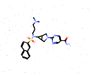 CN(C)CCCN(C1C2CN(c3ncc(C(N)=O)cn3)CC21)S(=O)(=O)c1ccc2ccccc2c1